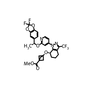 COC(=O)C12CC(O[C@@H]3CCCc4c(C(F)(F)F)nn(-c5ccnc(O[C@@H](C)c6ccc7c(c6)OC(F)(F)O7)c5)c43)(C1)C2